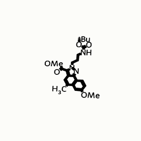 COC(=O)c1c2cc(C)c3cc(OC)ccc3c2nn1CCCNC(=O)OC(C)(C)C